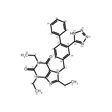 CCc1nc2c(c(=O)n(CC)c(=O)n2CC)n1Cc1ccc(-c2ccccc2)c(-c2nnn[nH]2)c1